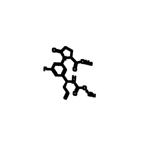 C=CC[C@H](NC(=O)OC(C)(C)C)c1cc(F)cc(N2C(=O)CCC2C(=O)OC)c1